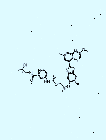 COc1cnc2c(-c3nc4cc(F)c(O[C@@H](C)COC(=O)Nc5ccnc(C(=O)NC[C@@H](C)O)c5)cc4s3)cc(C)cc2n1